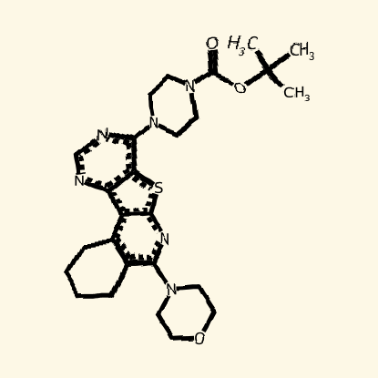 CC(C)(C)OC(=O)N1CCN(c2ncnc3c2sc2nc(N4CCOCC4)c4c(c23)CCCC4)CC1